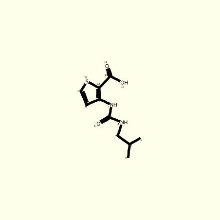 CC(C)CNC(=O)Nc1ccsc1C(=O)O